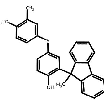 Cc1cc(Sc2ccc(O)c(C3(C)c4ccccc4-c4ccccc43)c2)ccc1O